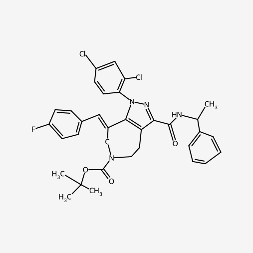 CC(NC(=O)c1nn(-c2ccc(Cl)cc2Cl)c2c1CCN(C(=O)OC(C)(C)C)CC2=Cc1ccc(F)cc1)c1ccccc1